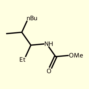 CCCCC(C)C(CC)NC(=O)OC